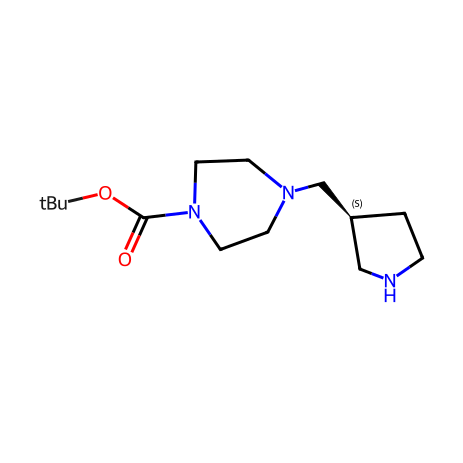 CC(C)(C)OC(=O)N1CCN(C[C@H]2CCNC2)CC1